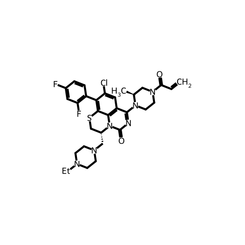 C=CC(=O)N1CCN(c2nc(=O)n3c4c(c(-c5ccc(F)cc5F)c(Cl)cc24)SC[C@H]3CN2CCN(CC)CC2)[C@@H](C)C1